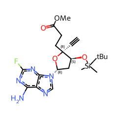 C#C[C@@]1(CCC(=O)OC)O[C@@H](n2cnc3c(N)nc(F)nc32)C[C@@H]1O[Si](C)(C)C(C)(C)C